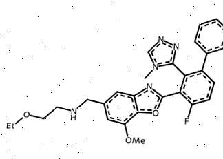 CCOCCNCc1cc(OC)c2oc(-c3c(F)ccc(-c4ccccc4)c3-c3nncn3C)nc2c1